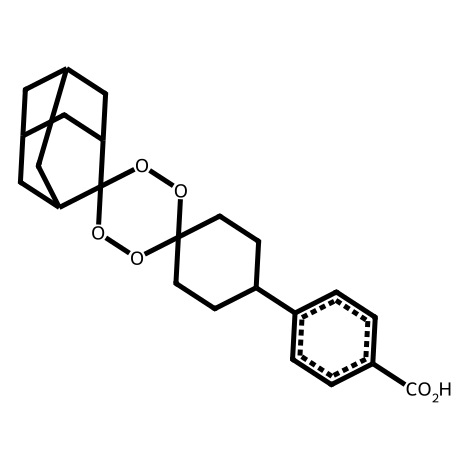 O=C(O)c1ccc(C2CCC3(CC2)OOC2(OO3)C3CC4CC(C3)CC2C4)cc1